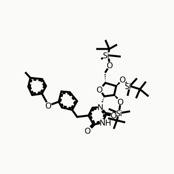 Cc1ccc(Oc2cccc(Cc3cn([C@@H]4O[C@H](CO[Si](C)(C)C(C)(C)C)[C@@H](O[Si](C)(C)C(C)(C)C)[C@H]4O[Si](C)(C)C(C)(C)C)c(=O)[nH]c3=O)c2)cc1